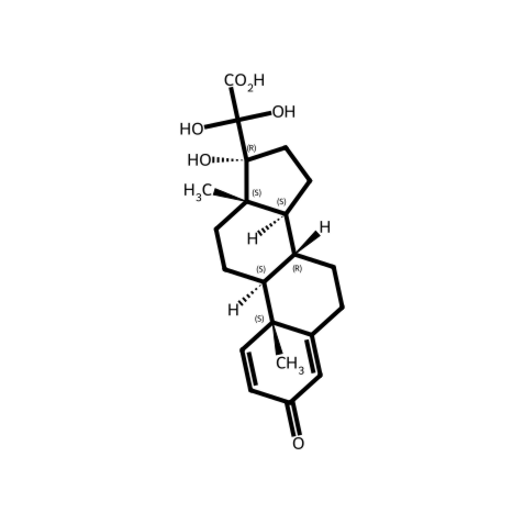 C[C@]12C=CC(=O)C=C1CC[C@@H]1[C@@H]2CC[C@@]2(C)[C@H]1CC[C@]2(O)C(O)(O)C(=O)O